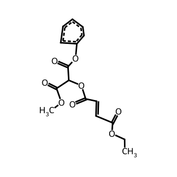 CCOC(=O)C=CC(=O)OC(C(=O)OC)C(=O)Oc1ccccc1